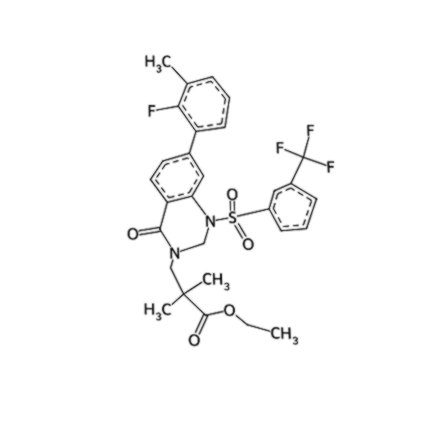 CCOC(=O)C(C)(C)CN1CN(S(=O)(=O)c2cccc(C(F)(F)F)c2)c2cc(-c3cccc(C)c3F)ccc2C1=O